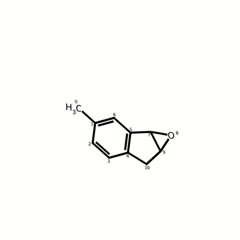 Cc1ccc2c(c1)C1OC1C2